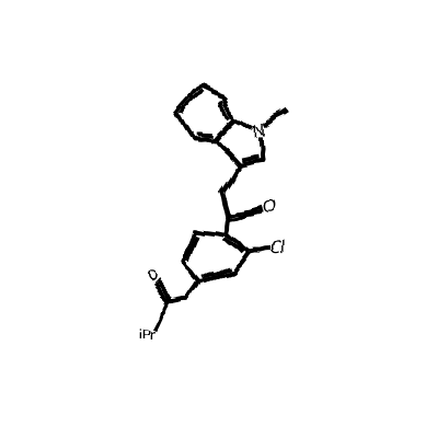 CC(C)C(=O)Cc1ccc(C(=O)Cc2cn(C)c3ccccc23)c(Cl)c1